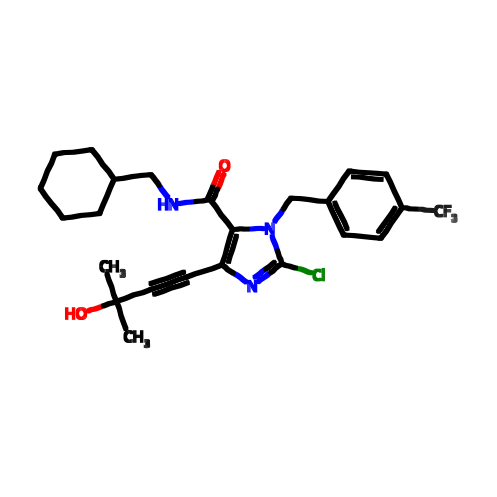 CC(C)(O)C#Cc1nc(Cl)n(Cc2ccc(C(F)(F)F)cc2)c1C(=O)NCC1CCCCC1